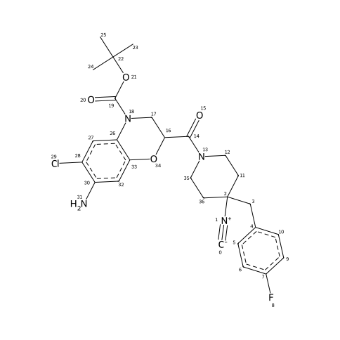 [C-]#[N+]C1(Cc2ccc(F)cc2)CCN(C(=O)C2CN(C(=O)OC(C)(C)C)c3cc(Cl)c(N)cc3O2)CC1